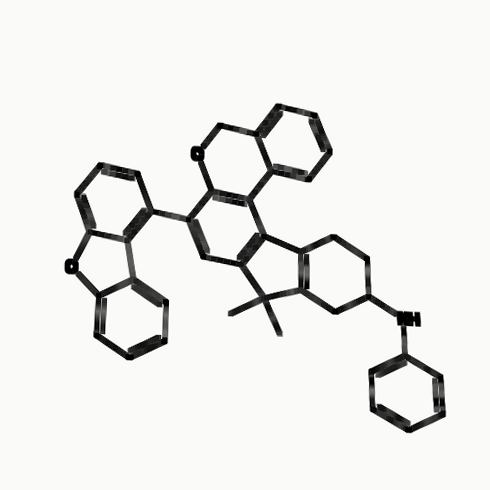 CC1(C)C2=C(CCC(Nc3ccccc3)C2)c2c1cc(-c1cccc3oc4ccccc4c13)c1c2-c2ccccc2CO1